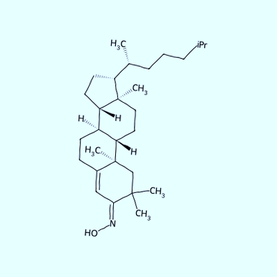 CC(C)CCC[C@@H](C)[C@H]1CC[C@H]2[C@@H]3CCC4=CC(=NO)C(C)(C)C[C@]4(C)[C@H]3CC[C@]12C